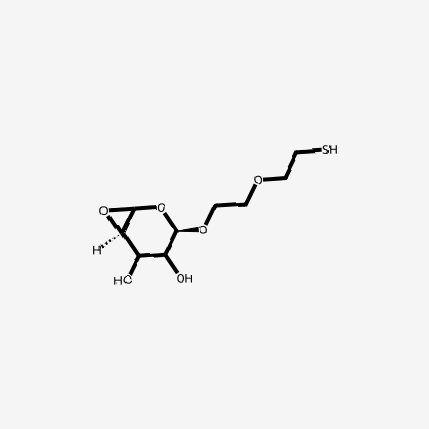 OC1C(O)[C@H]2OC2O[C@H]1OCCOCCS